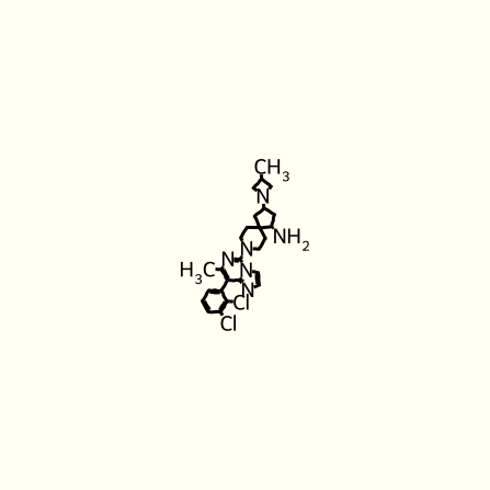 Cc1nc(N2CCC3(CC2)CC(N2CC(C)C2)C[C@H]3N)n2ccnc2c1-c1cccc(Cl)c1Cl